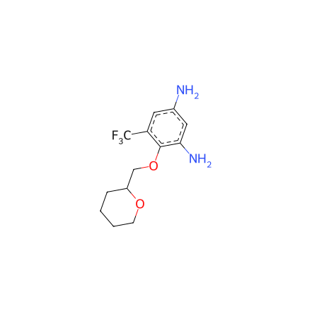 Nc1cc(N)c(OCC2CCCCO2)c(C(F)(F)F)c1